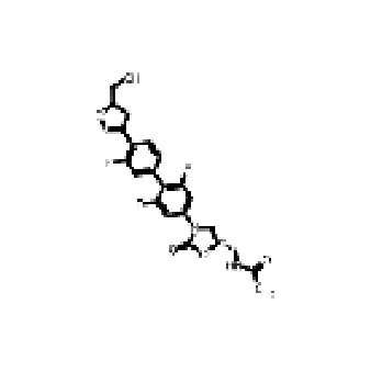 CC(=O)NC[C@H]1CN(c2cc(F)c(-c3ccc(C4=NOC(CO)C4)c(F)c3)c(F)c2)C(=O)O1